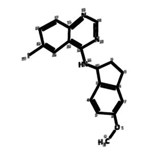 COc1ccc2c(c1)CCC2Nc1ncnc2ccc(I)cc12